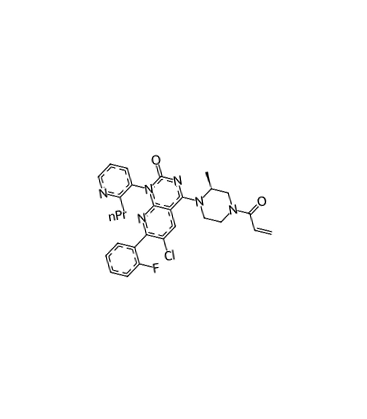 C=CC(=O)N1CCN(c2nc(=O)n(-c3cccnc3CCC)c3nc(-c4ccccc4F)c(Cl)cc23)[C@@H](C)C1